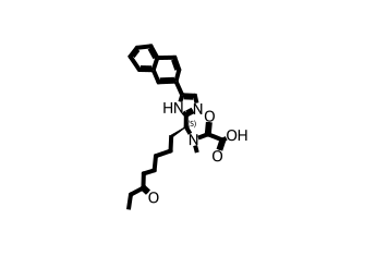 CCC(=O)CCCCC[C@@H](c1ncc(-c2ccc3ccccc3c2)[nH]1)N(C)C(=O)C(=O)O